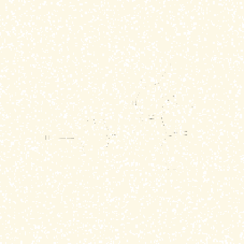 COC(=O)c1c(Oc2ccc(C)cc2F)nnc(I)c1C